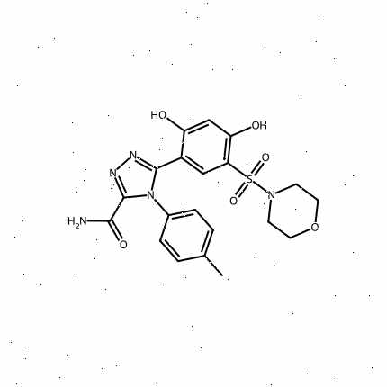 Cc1ccc(-n2c(C(N)=O)nnc2-c2cc(S(=O)(=O)N3CCOCC3)c(O)cc2O)cc1